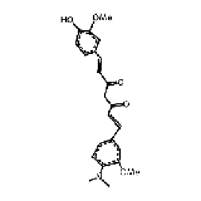 COc1cc(C=CC(=O)CC(=O)C=Cc2ccc(N(C)C)c(OC)c2)ccc1O